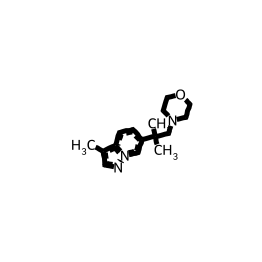 Cc1cnn2cc(C(C)(C)CN3CCOCC3)ccc12